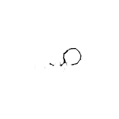 C=CCOC(=O)C1=CC=CCCCCCCCC1